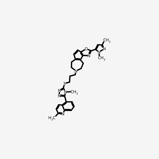 Cc1ccc2c(-c3nnc(SCCCN4CCc5ccc6oc(-c7cc(C)nn7C)nc6c5CC4)n3C)cccc2n1